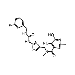 Cc1cc(C(=O)N(C)Cc2csc(NC(=O)NCc3cccc(F)c3)n2)c(C#N)c(O)n1